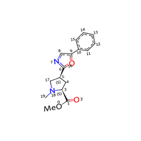 COC(=O)[C@@H]1C[C@H](c2ncc(-c3ccccc3)o2)CN1C